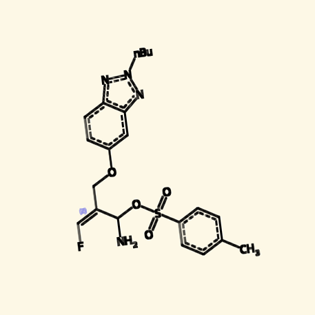 CCCCn1nc2ccc(OC/C(=C/F)C(N)OS(=O)(=O)c3ccc(C)cc3)cc2n1